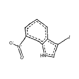 O=[N+]([O-])c1cccc2c(I)c[nH]c12